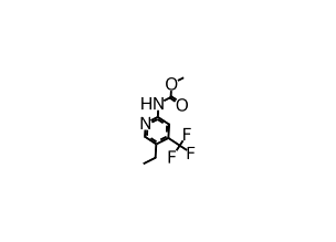 CCc1cnc(NC(=O)OC)cc1C(F)(F)F